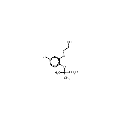 CCOC(=O)C(C)(C)Oc1ccc(Cl)cc1OCCO